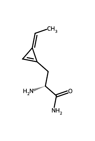 C/C=C1C=C/1C[C@@H](N)C(N)=O